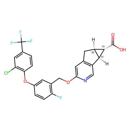 O=C(O)[C@H]1[C@@H]2Cc3cc(OCc4cc(Oc5ccc(C(F)(F)F)cc5Cl)ccc4F)ncc3[C@@H]21